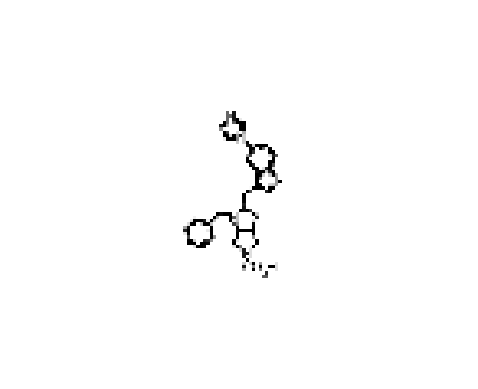 O=C(O)N1CC2CC(Cc3c[nH]c4ccc(-n5ccnc5)cc34)N(Cc3ccccc3)C2C1